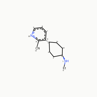 CCN[C@H]1CC[C@H](c2cccnc2C#N)CC1